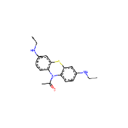 CCNc1ccc2c(c1)Sc1cc(NCC)ccc1N2C(C)=O